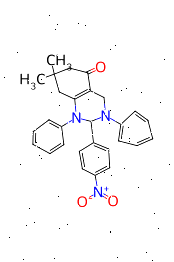 CC1(C)CC(=O)C2=C(C1)N(c1ccccc1)C(c1ccc([N+](=O)[O-])cc1)N(c1ccccc1)C2